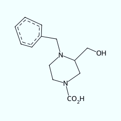 O=C(O)N1CCN(Cc2ccccc2)C(CO)C1